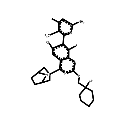 Cc1cc(N)nc(-c2c(Cl)cc3c(N4CC5CCC(C4)N5)nc(OCC4(O)CCCCC4)nc3c2F)c1C(F)(F)F